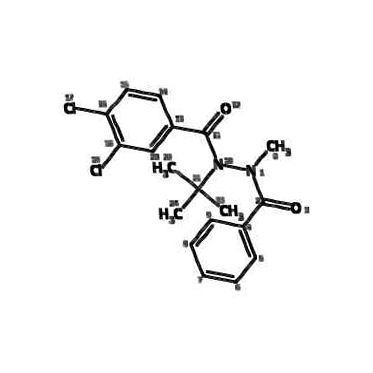 CN(C(=O)c1ccccc1)N(C(=O)c1ccc(Cl)c(Cl)c1)C(C)(C)C